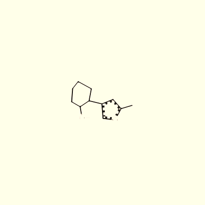 Cc1[c]c(C2CCCCC2O)co1